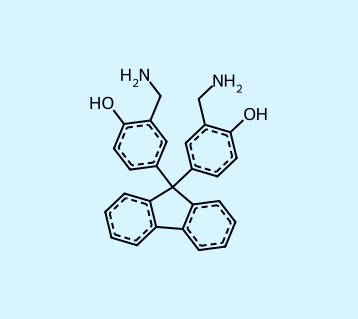 NCc1cc(C2(c3ccc(O)c(CN)c3)c3ccccc3-c3ccccc32)ccc1O